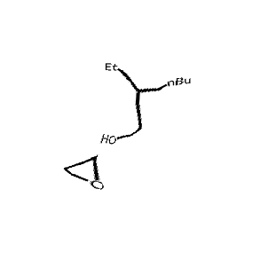 C1CO1.CCCCC(CC)CO